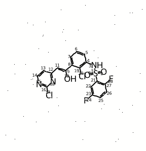 O=S(=O)(Nc1cccc(C(O)=Cc2ccnc(Cl)n2)c1Cl)c1cc(F)ccc1F